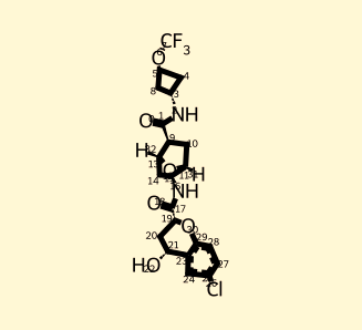 O=C(N[C@H]1C[C@@H](OC(F)(F)F)C1)[C@H]1C[C@H]2O[C@@H]1C[C@@H]2NC(=O)[C@H]1C[C@@H](O)c2cc(Cl)ccc2O1